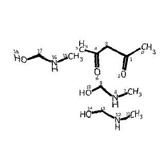 CC(=O)CC(C)=O.CNCO.CNCO.CNCO